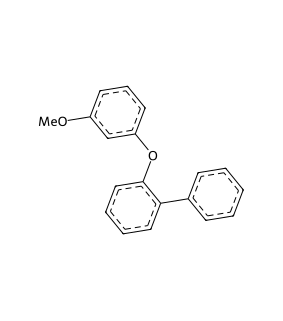 COc1cccc(Oc2ccccc2-c2ccccc2)c1